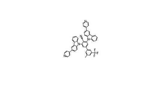 Cc1cc(-c2cc(-n3c4ccccc4c4cc(-c5ccncc5)ccc43)c(C#N)c(-n3c4ccccc4c4cc(-c5ccncc5)ccc43)c2)cc(C(F)(F)F)c1